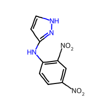 O=[N+]([O-])c1ccc(Nc2cc[nH]n2)c([N+](=O)[O-])c1